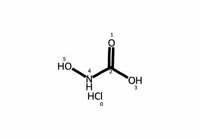 Cl.O=C(O)NO